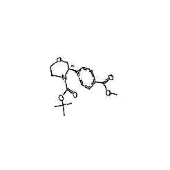 COC(=O)c1ccc([C@@H]2COCCN2C(=O)OC(C)(C)C)cc1